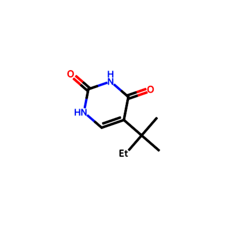 CCC(C)(C)c1c[nH]c(=O)[nH]c1=O